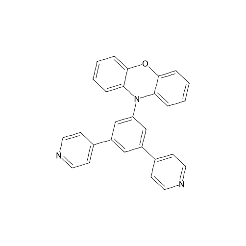 c1ccc2c(c1)Oc1ccccc1N2c1cc(-c2ccncc2)cc(-c2ccncc2)c1